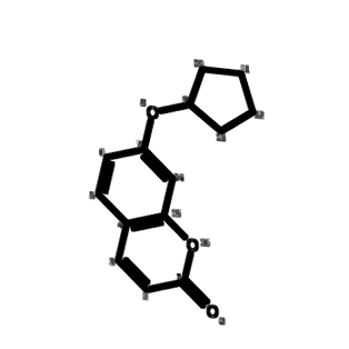 O=c1ccc2ccc(OC3CCCC3)cc2o1